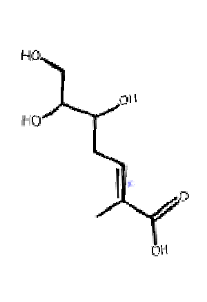 C/C(=C\CC(O)C(O)CO)C(=O)O